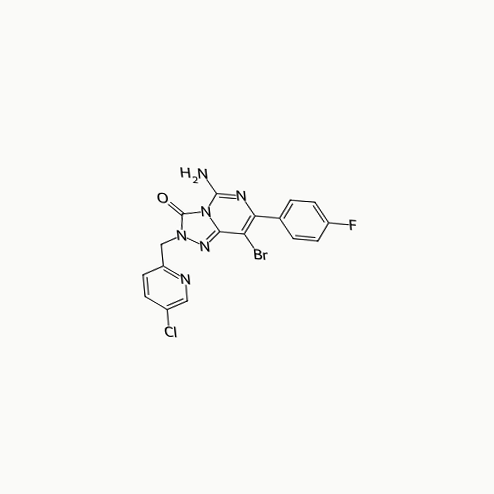 Nc1nc(-c2ccc(F)cc2)c(Br)c2nn(Cc3ccc(Cl)cn3)c(=O)n12